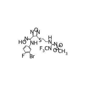 CS(=O)(=O)/N=C(/NCCSc1nonc1/C(=N/O)Nc1ccc(F)c(Br)c1)NC(F)(F)F